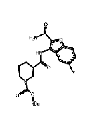 CC(C)(C)OC(=O)N1CCCC(C(=O)Nc2c(C(N)=O)oc3ccc(Br)cc23)C1